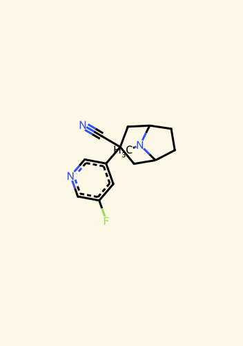 CN1C2CCC1CC(C#N)(c1cncc(F)c1)C2